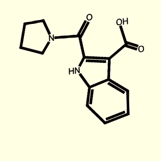 O=C(O)c1c(C(=O)N2CCCC2)[nH]c2ccccc12